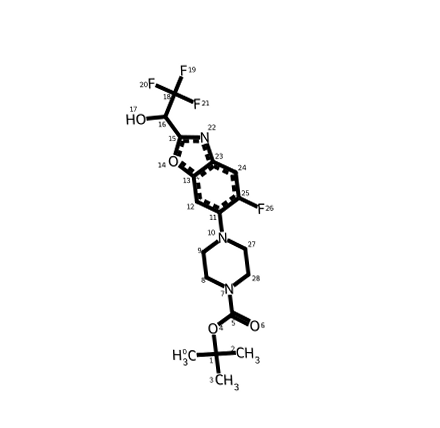 CC(C)(C)OC(=O)N1CCN(c2cc3oc(C(O)C(F)(F)F)nc3cc2F)CC1